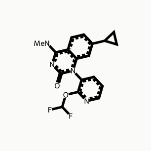 CNc1nc(=O)n(-c2cccnc2OC(F)F)c2cc(C3CC3)ccc12